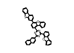 c1ccc2cc(-c3nc(-c4cccc5c4oc4ccccc45)nc(-c4ccc(-c5ccc6c(c5)sc5ccccc56)c5oc6ccccc6c45)n3)ccc2c1